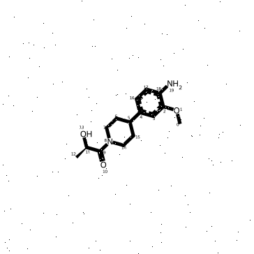 COc1cc(C2CCN(C(=O)[C@@H](C)O)CC2)ccc1N